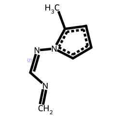 C=N/C=N\n1cccc1C